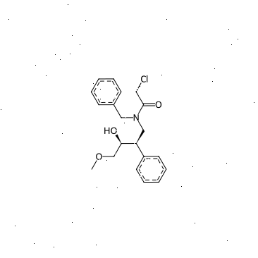 COC[C@@H](O)[C@@H](CN(Cc1ccccc1)C(=O)CCl)c1ccccc1